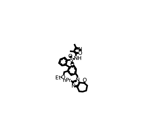 CCCc1nc2c(n1Cc1ccc(-c3ccccc3S(=O)(=O)Nc3onc(C)c3C)c(COCC)c1)C(=O)CCCC2